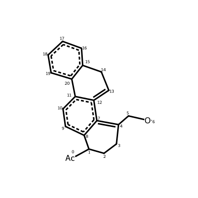 CC(=O)C1CCC(C[O])=c2c1ccc1c2=CCc2ccccc2-1